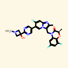 Cc1nc2cc(F)c(-c3cnc(C4(O)CN(C(=O)O)C4)nc3)cn2c1CN1C(=O)[C@@H](C)Oc2c(F)cc(F)cc21